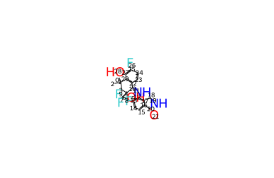 CC1(C)CC(O)(C(F)(F)F)C(Nc2cccc3c2CNC3=O)c2ccc(F)c(O)c21